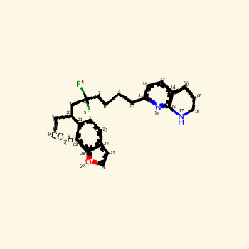 O=C(O)CC(CC(F)(F)CCCCc1ccc2c(n1)NCCC2)c1ccc2ccoc2c1